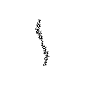 O=C(Cc1ccc(OCCCCOc2ccc(OC(=O)c3ccc(C(=O)Oc4ccc(OCC5CO5)cc4)[pH]3)cc2)cc1)c1ccc(C(=O)Oc2ccc(OCC3CO3)cc2)[pH]1